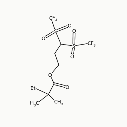 CCC(C)(C)C(=O)OCCC(S(=O)(=O)C(F)(F)F)S(=O)(=O)C(F)(F)F